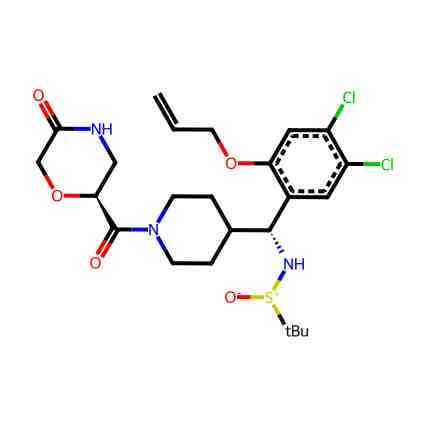 C=CCOc1cc(Cl)c(Cl)cc1[C@H](N[S+]([O-])C(C)(C)C)C1CCN(C(=O)[C@@H]2CNC(=O)CO2)CC1